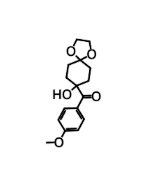 COc1ccc(C(=O)C2(O)CCC3(CC2)OCCO3)cc1